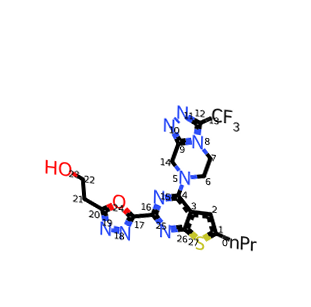 CCCc1cc2c(N3CCn4c(nnc4C(F)(F)F)C3)nc(-c3nnc(CCO)o3)nc2s1